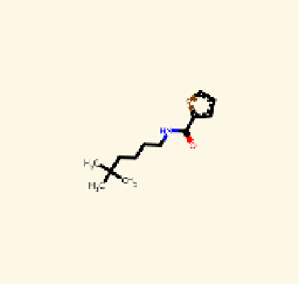 CC(C)(C)CCCCNC(=O)c1cccs1